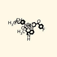 C[C@@H](c1c[nH]c2ccccc12)[C@@H](NC(=O)N1CCC(C(=O)c2ccc(F)cc2)CC1)C(=O)Nc1cccc(CN(C)C)c1